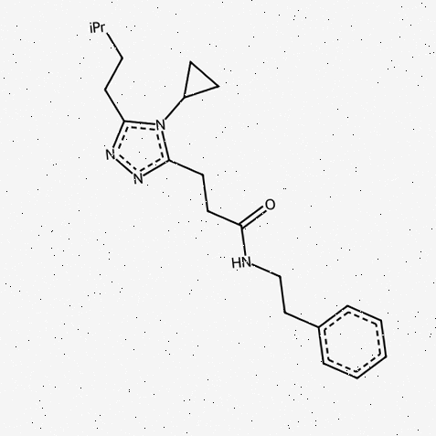 CC(C)CCc1nnc(CCC(=O)NCCc2ccccc2)n1C1CC1